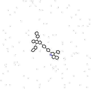 c1ccc(-c2cc(-c3ccc(-c4ccc(-c5ccc6c(-c7ccc8ccccc8c7)c7ccccc7c(-c7ccc8ccccc8c7)c6c5)cc4)cc3)nc3ccc4ccccc4c23)cc1